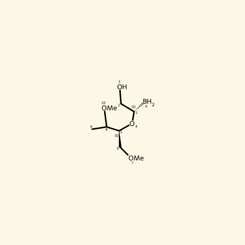 B[C@@H](CO)O[C@@H](COC)C(C)OC